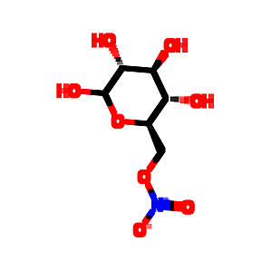 O=[N+]([O-])OC[C@H]1OC(O)[C@H](O)[C@@H](O)[C@@H]1O